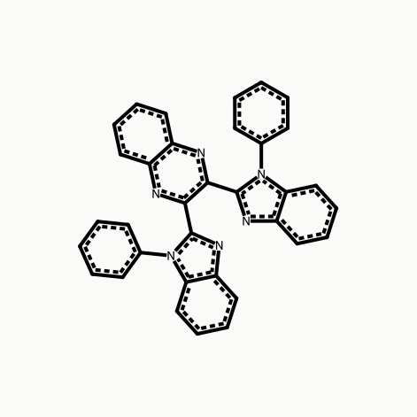 c1ccc(-n2c(-c3nc4ccccc4nc3-c3nc4ccccc4n3-c3ccccc3)nc3ccccc32)cc1